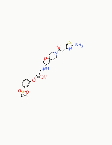 CS(=O)(=O)c1cccc(OC[C@@H](O)CNC2COC3(CCN(C(=O)Cc4csc(N)n4)CC3)C2)c1